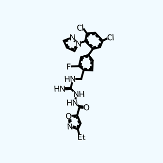 CCc1cc(C(=O)NNC(=N)NCc2ccc(-c3cc(Cl)cc(Cl)c3-n3cccn3)cc2F)on1